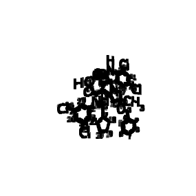 C[C@]1(OCc2ccccc2)C[C@@H]2C(C(=O)N(CC3CCCC3)c3cc(Cl)cc(Cl)c3)[C@H](C(=O)O)[C@@]3(C(=O)Nc4c(Cl)cc(Cl)cc43)N2C1